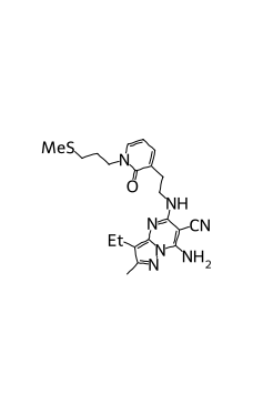 CCc1c(C)nn2c(N)c(C#N)c(NCCc3cccn(CCCSC)c3=O)nc12